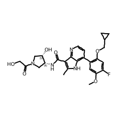 COc1cc(-c2ccnc3c(C(=O)N[C@@H]4CN(C(=O)CO)C[C@@H]4O)c(C)[nH]c23)c(OCC2CC2)cc1F